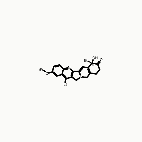 CCc1c2c(nc3ccc(OC(C)C)cc13)C1=CC3=C(CCC(=O)[C@]3(O)CC)CN1C2